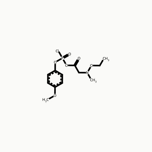 CCON(C)CC(=O)OP(=O)(Cl)Oc1ccc(OC)cc1